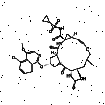 COc1cnc(O[C@@H]2C[C@H]3C(=O)N[C@]4(C(=O)NS(=O)(=O)C5CC5)C[C@H]4/C=C\CCC(C)C[C@@H](C)[C@H](NC(=O)O)C(=O)N3C2)c2cccc(Cl)c12